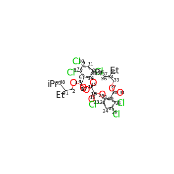 CCC(COC(=O)c1c(Cl)c(Cl)cc(Cl)c1OC(=O)C(=O)Oc1c(Cl)cc(Cl)c(Cl)c1C(=O)OCC(CC)CC(C)C)CC(C)C